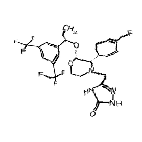 C[C@@H](O[C@H]1OCCN(Cc2n[nH]c(=O)[nH]2)[C@H]1C1C=CC(F)=CC1)c1cc(C(F)(F)F)cc(C(F)(F)F)c1